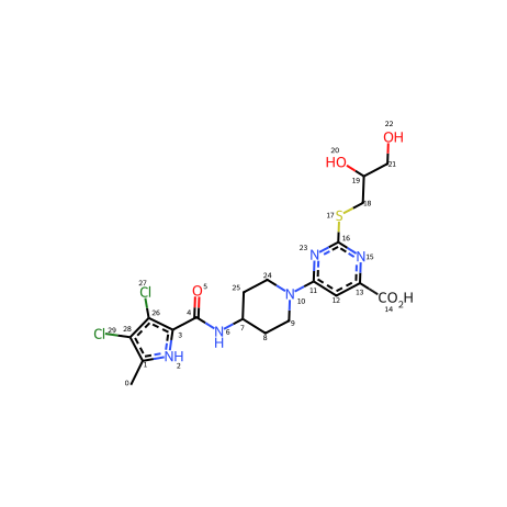 Cc1[nH]c(C(=O)NC2CCN(c3cc(C(=O)O)nc(SCC(O)CO)n3)CC2)c(Cl)c1Cl